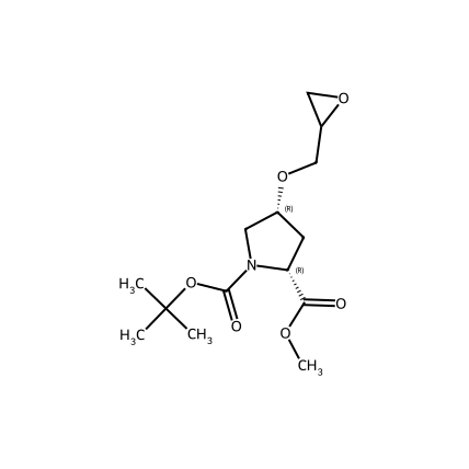 COC(=O)[C@H]1C[C@@H](OCC2CO2)CN1C(=O)OC(C)(C)C